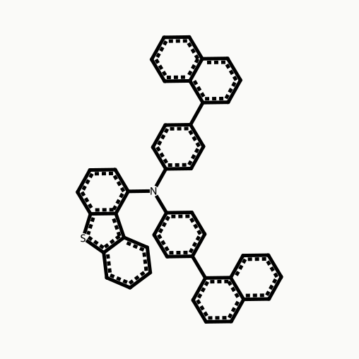 c1ccc2c(-c3ccc(N(c4ccc(-c5cccc6ccccc56)cc4)c4cccc5sc6ccccc6c45)cc3)cccc2c1